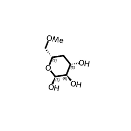 COC[C@@H]1C[C@H](O)[C@@H](O)[C@@H](O)O1